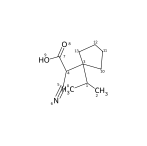 CC(C)C1(C(C#N)C(=O)O)CCCC1